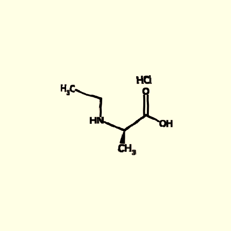 CCN[C@H](C)C(=O)O.Cl